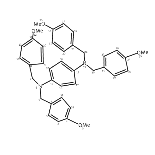 COc1ccc(CN(Cc2ccc(OC)cc2)c2ccc(N(Cc3ccc(OC)cc3)Cc3ccc(OC)cc3)cc2)cc1